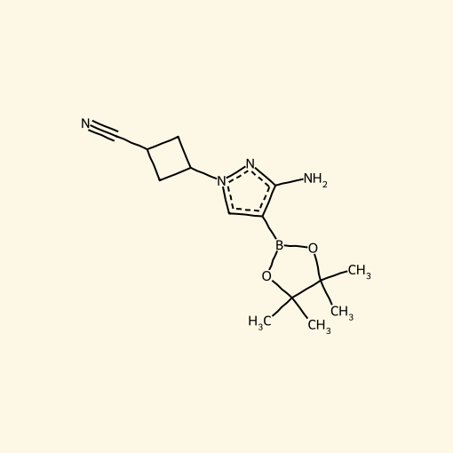 CC1(C)OB(c2cn(C3CC(C#N)C3)nc2N)OC1(C)C